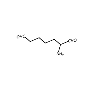 NC([C]=O)CCCC[C]=O